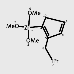 C[O][Zr]([O]C)([O]C)[C]1=C(CC(C)C)C=CC1